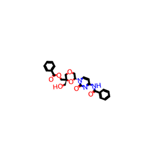 O=C(Nc1ccn([C@H]2COC[C@@](CO)(COC(=O)c3ccccc3)O2)c(=O)n1)c1ccccc1